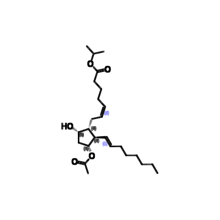 CCCCCC/C=C/[C@@H]1[C@@H](C/C=C\CCCC(=O)OC(C)C)[C@@H](O)C[C@H]1OC(C)=O